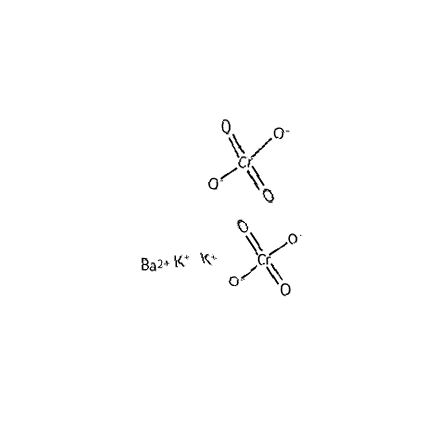 [Ba+2].[K+].[K+].[O]=[Cr](=[O])([O-])[O-].[O]=[Cr](=[O])([O-])[O-]